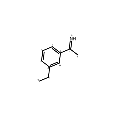 CCc1cccc(C(C)=N)c1